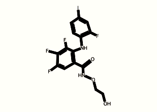 O=C(NOCCO)c1cc(F)c(F)c(F)c1Nc1ccc(I)cc1F